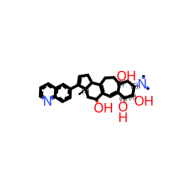 CN(C)[C@H]1C[C@]2(O)CCC3=C(C=C2[C@@H](O)[C@@H]1O)C(O)C[C@]1(C)C(c2ccc4ncccc4c2)=CCC31